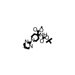 COC(=O)C1(NC(=O)OC(C)(C)C)CCN(c2nc[c]cn2)CC1